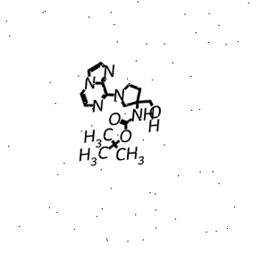 CC(C)(C)OC(=O)NC1(CO)CCN(c2nccn3ccnc23)C1